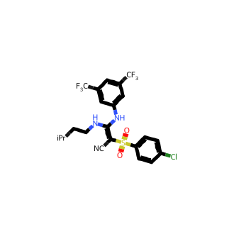 CC(C)CCN/C(Nc1cc(C(F)(F)F)cc(C(F)(F)F)c1)=C(\C#N)S(=O)(=O)c1ccc(Cl)cc1